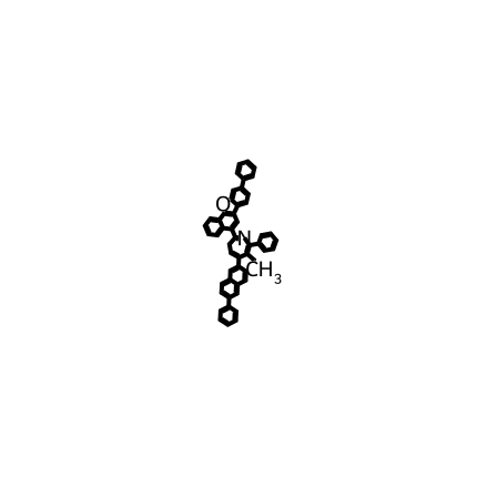 CCC1=C(c2ccccc2)N=C(c2cc3c4ccc(-c5ccccc5)cc4oc3c3ccccc23)CC=C1c1ccc2cc(-c3ccccc3)ccc2c1